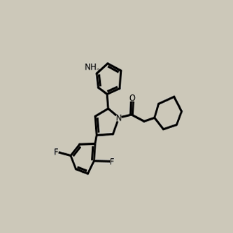 N.O=C(CC1CCCCC1)N1CC(c2cc(F)ccc2F)=CC1c1ccccc1